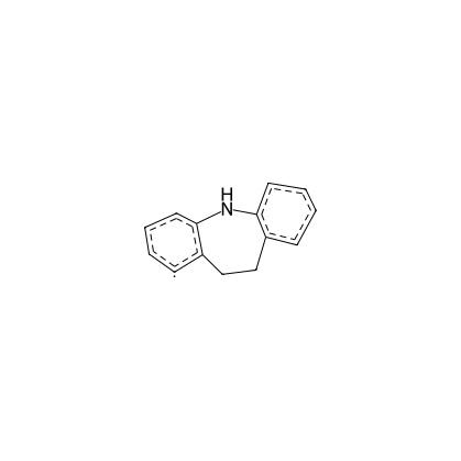 [c]1cccc2c1CCc1ccccc1N2